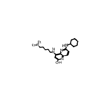 CCN(CC)CCCCCNc1cc(O)nc2ccc(NC3CCCCC3)nc12